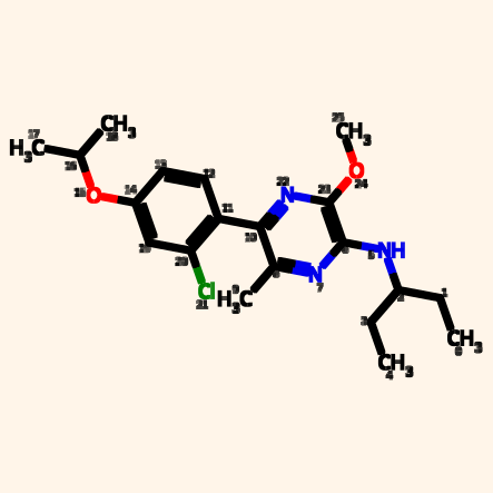 CCC(CC)Nc1nc(C)c(-c2ccc(OC(C)C)cc2Cl)nc1OC